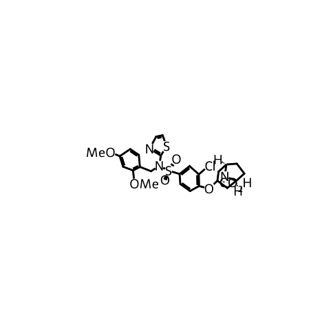 COc1ccc(CN(c2nccs2)S(=O)(=O)c2ccc(OC3C[C@H]4CC[C@@H](C3)N4C(=O)O)c(Cl)c2)c(OC)c1